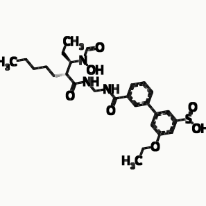 CCCCC[C@@H](C(=O)NCNC(=O)c1cccc(-c2cc(OCC)cc(S(=O)O)c2)c1)[C@@H](CC)N(O)C=O